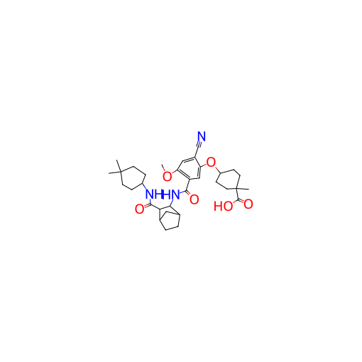 COc1cc(C#N)c(OC2CCC(C)(C(=O)O)CC2)cc1C(=O)NC1C2CCC(C2)C1C(=O)NC1CCC(C)(C)CC1